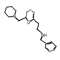 c1cncc(CNCCC2=NOCC(CN3CCCCC3)O2)c1